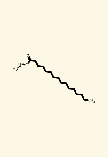 CCCCCCCCCCCCCCCC(=O)OPC